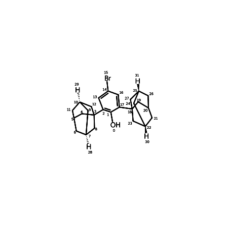 Oc1c(C23CC4C[C@H](C2)C[C@@H](C4)C3)cc(Br)cc1C12CC3C[C@H](C1)C[C@@H](C3)C2